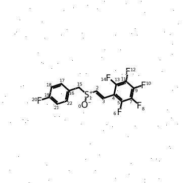 [O-][S+](C=Cc1c(F)c(F)c(F)c(F)c1F)Cc1ccc(F)cc1